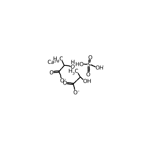 CC(O)C(=O)[O-].CC(O)C(=O)[O-].O=S(=O)(O)O.[Ca+2]